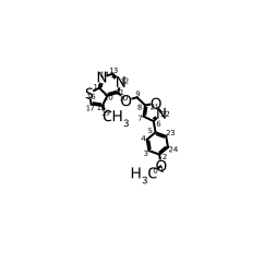 COc1ccc(-c2cc(COc3ncnc4scc(C)c34)on2)cc1